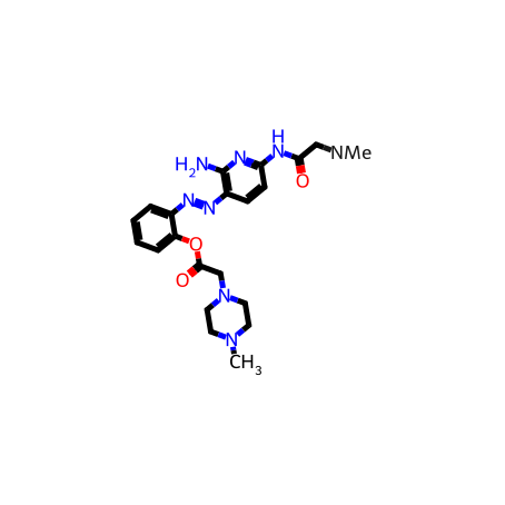 CNCC(=O)Nc1ccc(/N=N/c2ccccc2OC(=O)CN2CCN(C)CC2)c(N)n1